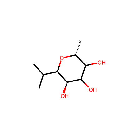 CC(C)C1O[C@H](C)C(O)C(O)[C@H]1O